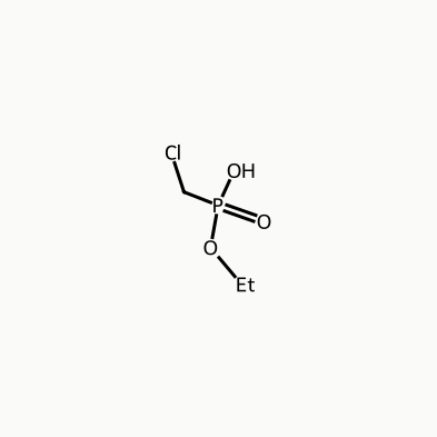 CCOP(=O)(O)CCl